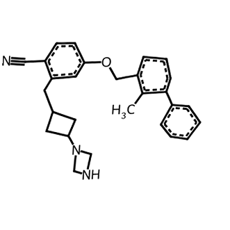 Cc1c(COc2ccc(C#N)c(CC3CC(N4CNC4)C3)c2)cccc1-c1ccccc1